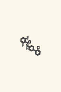 O=C(Nc1ccc(-c2ccccc2Cl)cc1)c1c(F)cccc1F